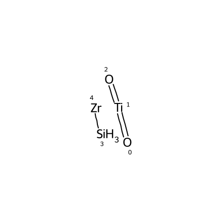 [O]=[Ti]=[O].[SiH3][Zr]